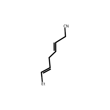 CCC=CCC=CCC#N